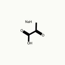 CC(=O)C(=O)O.[NaH]